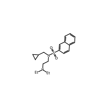 CCN(CC)CCN(CC1CC1)S(=O)(=O)c1ccc2ccccc2c1